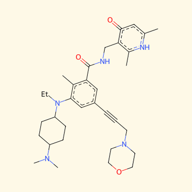 CCN(c1cc(C#CCN2CCOCC2)cc(C(=O)NCc2c(C)[nH]c(C)cc2=O)c1C)C1CCC(N(C)C)CC1